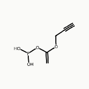 C#CCOC(=C)OP(O)O